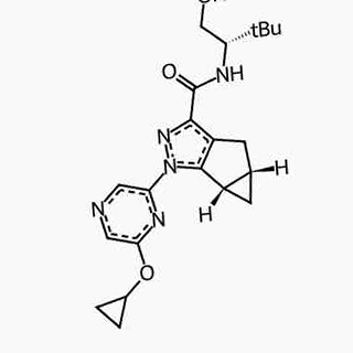 CC(C)(C)[C@@H](CO)NC(=O)c1nn(-c2cncc(OC3CC3)n2)c2c1C[C@@H]1C[C@H]21